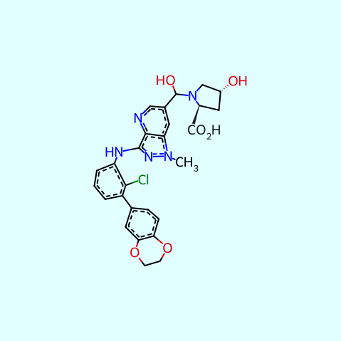 Cn1nc(Nc2cccc(-c3ccc4c(c3)OCCO4)c2Cl)c2ncc(C(O)N3C[C@H](O)C[C@H]3C(=O)O)cc21